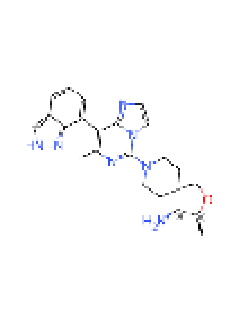 Cc1nc(N2CCC3(CC2)CO[C@@H](C)[C@H]3N)n2ccnc2c1-c1cccc2c[nH]nc12